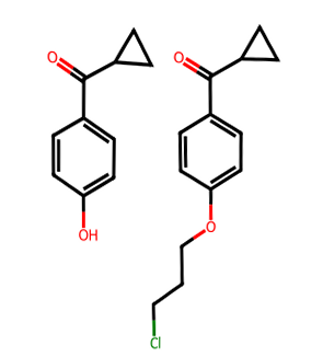 O=C(c1ccc(O)cc1)C1CC1.O=C(c1ccc(OCCCCl)cc1)C1CC1